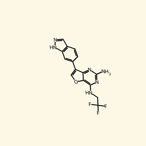 Nc1nc(NCC(F)(F)F)c2occ(-c3ccc4cn[nH]c4c3)c2n1